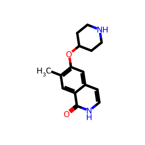 Cc1cc2c(=O)[nH]ccc2cc1OC1CCNCC1